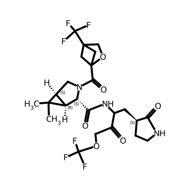 CC1(C)[C@@H]2[C@@H](C(=O)NC(C[C@@H]3CCNC3=O)C(=O)COC(F)(F)F)N(C(=O)C34CC(C(F)(F)F)(CO3)C4)C[C@@H]21